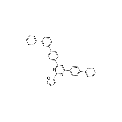 c1ccc(-c2ccc(-c3cc(-c4ccc(-c5cccc(-c6ccccc6)c5)cc4)nc(-c4ccco4)n3)cc2)cc1